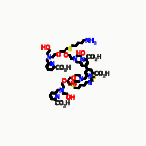 NCCCCCSC[C@H](COCCN(CCO)Cc1cccc(C(=O)O)n1)OCCN(CCO)Cc1cc(-c2cc(CN(CCO)CCOC[C@@H](CSCCCCCN=C=S)OCCN(CCO)Cc3cccc(C(=O)O)n3)nc(C(=O)O)c2)cc(C(=O)O)n1